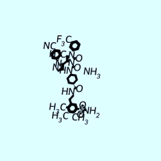 Cc1c(CCNC(=O)[C@H]2CC[C@H](NC(=O)n3c(-c4ccnn4-c4ccc(C#N)cc4)c(C)n(-c4cccc(C(F)(F)F)c4)c3=O)CC2)cc(S(N)(=O)=O)c(C)c1C.N